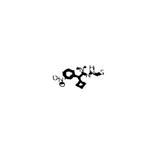 CN(C)/C(=N\NC=S)C(c1cccc([N+](=O)[O-])c1)C1CCC1